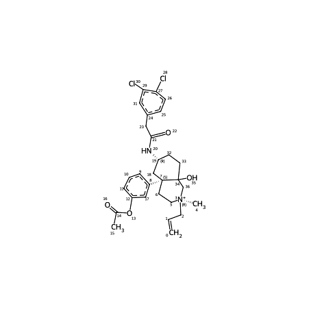 C=CC[N@@+]1(C)CC[C@@]2(c3cccc(OC(C)=O)c3)C[C@H](NC(=O)Cc3ccc(Cl)c(Cl)c3)CCC2(O)C1